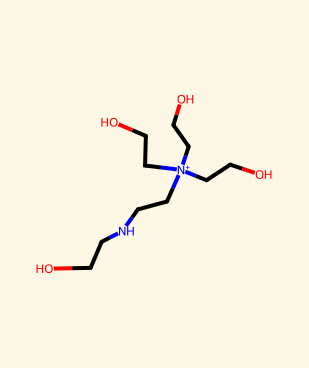 OCCNCC[N+](CCO)(CCO)CCO